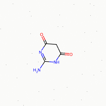 NC1=NC(=O)CC(=O)N1